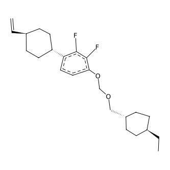 C=C[C@H]1CC[C@H](c2ccc(OCOC[C@H]3CC[C@H](CC)CC3)c(F)c2F)CC1